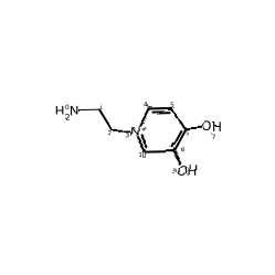 NCC[n+]1ccc(O)c(O)c1